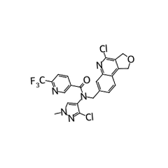 Cn1cc(N(Cc2ccc3c4c(c(Cl)nc3c2)COC4)C(=O)c2ccc(C(F)(F)F)nc2)c(Cl)n1